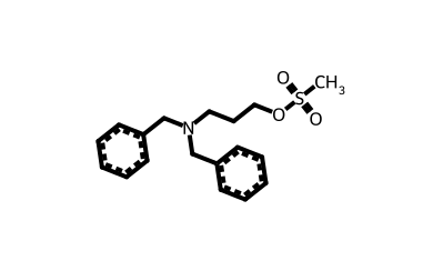 CS(=O)(=O)OCCCN(Cc1ccccc1)Cc1ccccc1